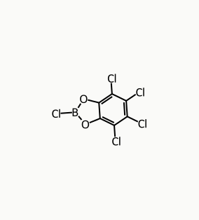 ClB1Oc2c(Cl)c(Cl)c(Cl)c(Cl)c2O1